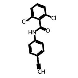 C#Cc1ccc(NC(=O)c2c(Cl)cccc2Cl)cc1